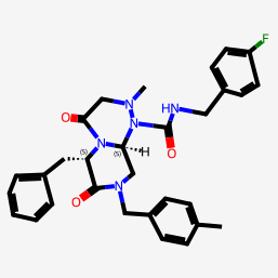 Cc1ccc(CN2C[C@H]3N(C(=O)CN(C)N3C(=O)NCc3ccc(F)cc3)[C@@H](Cc3ccccc3)C2=O)cc1